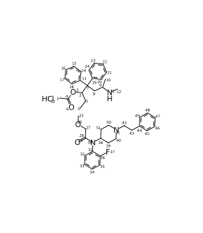 CCC(OC(C)=O)C(CC(C)NC)(c1ccccc1)c1ccccc1.COCC(=O)N(c1ccccc1F)C1CCN(CCc2ccccc2)CC1.Cl